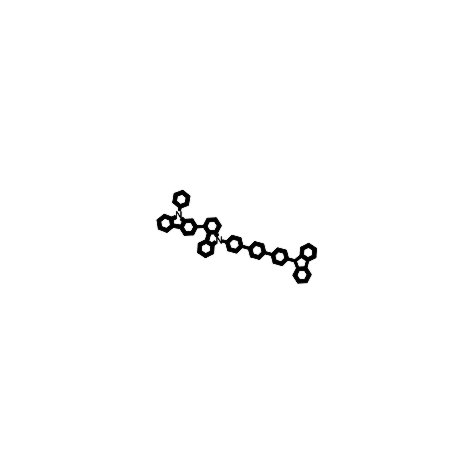 c1ccc(-n2c3ccccc3c3ccc(-c4cccc5c4c4ccccc4n5-c4ccc(-c5ccc(-c6ccc(C7c8ccccc8-c8ccccc87)cc6)cc5)cc4)cc32)cc1